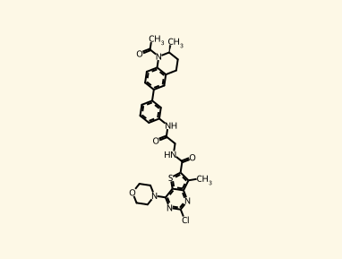 CC(=O)N1c2ccc(-c3cccc(NC(=O)CNC(=O)c4sc5c(N6CCOCC6)nc(Cl)nc5c4C)c3)cc2CC[C@@H]1C